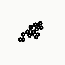 C1=CC(C2(c3ccccc3)c3ccccc3-c3ccc(-c4cccc(N(c5ccc(-c6cccc(-c7cccc8ccccc78)c6)cc5)c5ccc(-c6cccc7ccccc67)c6sc7ccccc7c56)c4)cc32)=CCC1